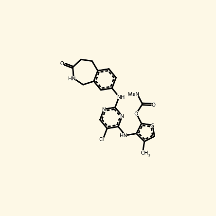 CNC(=O)Oc1scc(C)c1Nc1nc(Nc2ccc3c(c2)CNC(=O)CC3)ncc1Cl